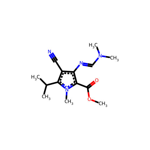 COC(=O)c1c(/N=C/N(C)C)c(C#N)c(C(C)C)n1C